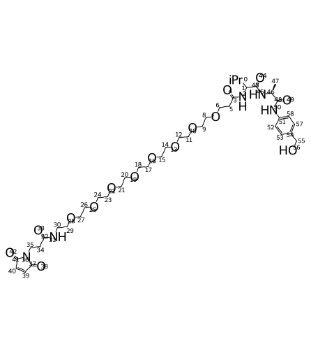 CC(C)C(NC(=O)CCOCCOCCOCCOCCOCCOCCOCCOCCNC(=O)CCN1C(=O)C=CC1=O)C(=O)N[C@@H](C)C(=O)Nc1ccc(CO)cc1